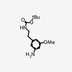 COc1cc(N)cc(CCNC(=O)OC(C)(C)C)c1